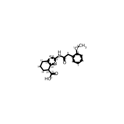 COc1ccccc1CC(=O)Nc1nc2c(s1)CCCC2C(=O)O